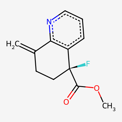 C=C1CC[C@@](F)(C(=O)OC)c2cccnc21